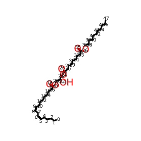 CCCCC/C=C\C/C=C\CCCCCCCC(=O)OCC(O)COC(=O)CCCCCCCC(=O)OCCCCCCCCCCC